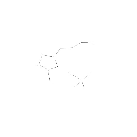 CCCC[NH+]1CCN(C)C1.F[B-](F)(F)F